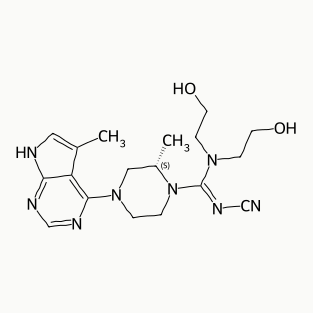 Cc1c[nH]c2ncnc(N3CCN(C(=NC#N)N(CCO)CCO)[C@@H](C)C3)c12